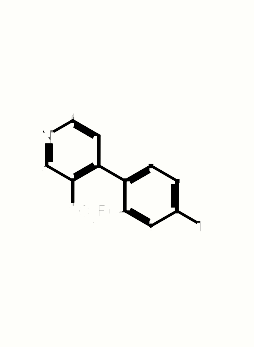 CCOC(=O)c1cnccc1-c1ccc(F)cc1